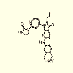 C=CCn1c(=O)c2cnc(Nc3ccc4c(c3)CCNC4)nc2n1-c1ccnc(N2CCNC2=O)c1